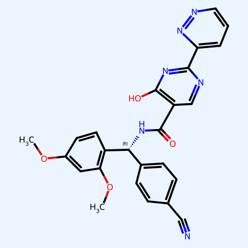 COc1ccc([C@H](NC(=O)c2cnc(-c3cccnn3)nc2O)c2ccc(C#N)cc2)c(OC)c1